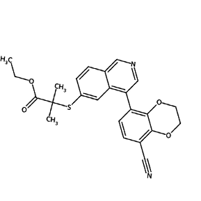 CCOC(=O)C(C)(C)Sc1ccc2cncc(-c3ccc(C#N)c4c3OCCO4)c2c1